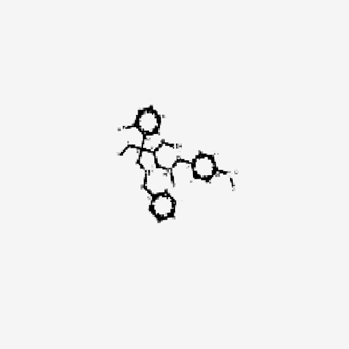 CCC(COCc1ccccc1)(c1ccccc1F)C(CO)CN(C)Cc1ccc(OC)cc1